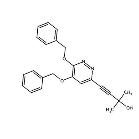 CC(C)(O)C#Cc1cc(OCc2ccccc2)c(OCc2ccccc2)nn1